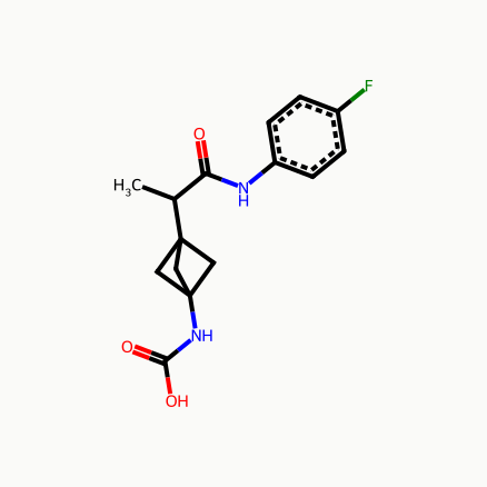 CC(C(=O)Nc1ccc(F)cc1)C12CC(NC(=O)O)(C1)C2